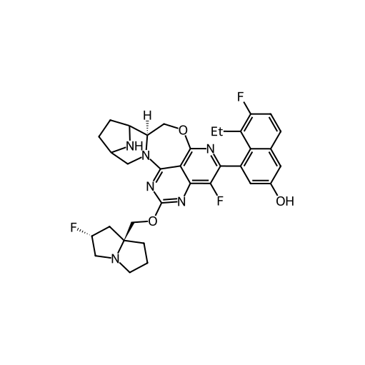 CCc1c(F)ccc2cc(O)cc(-c3nc4c5c(nc(OC[C@@]67CCCN6C[C@H](F)C7)nc5c3F)N3CC5CCC(N5)[C@H]3CO4)c12